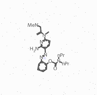 C=C(CNC)N(C)c1ccc(/N=N/c2ccccc2OC(=O)N(CCC)CCC)c(N)n1